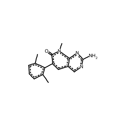 Cc1cccc(C)c1-c1cc2cnc(N)nc2n(C)c1=O